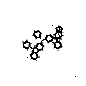 c1ccc(N(c2ccc3c(c2)-c2ccccc2C32C3CC4CC5CC2C4C5C3)c2ccc3c4ccccc4n(-c4ccccc4)c3c2)cc1